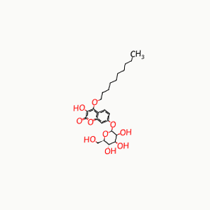 CCCCCCCCCCOc1c(O)c(=O)oc2cc(O[C@@H]3O[C@H](CO)[C@@H](O)[C@H](O)[C@@H]3O)ccc12